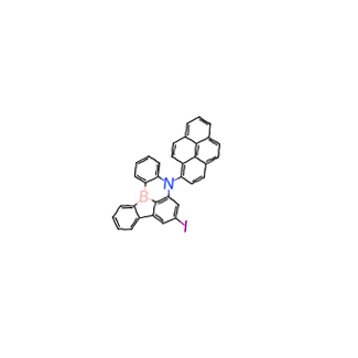 Ic1cc2c3c(c1)N(c1ccc4ccc5cccc6ccc1c4c56)c1ccccc1B3c1ccccc1-2